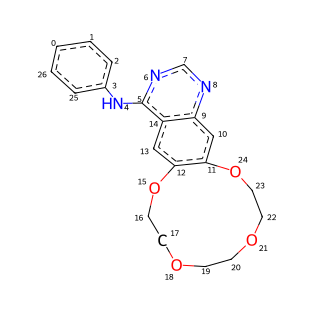 c1ccc(Nc2ncnc3cc4c(cc23)OCCOCCOCCO4)cc1